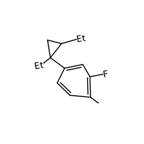 CCC1CC1(CC)c1ccc(C)c(F)c1